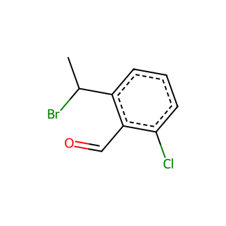 CC(Br)c1cccc(Cl)c1C=O